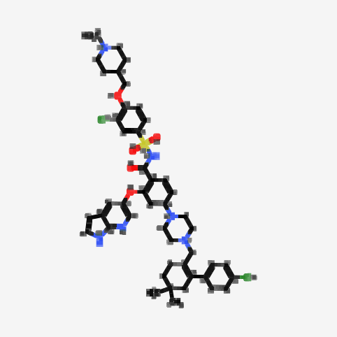 CC1(C)CCC(CN2CCN(c3ccc(C(=O)NS(=O)(=O)c4ccc(OCC5CCN(C(=O)O)CC5)c(Cl)c4)c(Oc4cnc5[nH]ccc5c4)c3)CC2)=C(c2ccc(Cl)cc2)C1